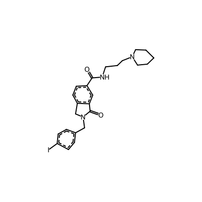 O=C(NCCCN1CCCCC1)c1ccc2c(c1)C(=O)N(Cc1ccc(I)cc1)C2